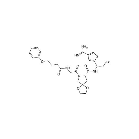 CC(C)C[C@H](NC(=O)[C@@H]1CC2(CN1C(=O)CNC(=O)CCCOc1ccccc1)OCCO2)c1cc(C(=N)N)cs1